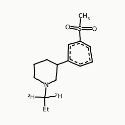 [2H]C([2H])(CC)N1CCCC(c2cccc(S(C)(=O)=O)c2)C1